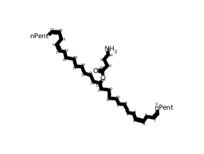 CCCCC/C=C\C/C=C\CCCCCCCCC(CCCCCCCC/C=C\C/C=C\CCCCC)OC(=O)CCCN